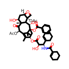 CC(=O)O[C@H]1C(=O)[C@@]2(C)C([C@H](O)[C@]3(OC(=O)c4ccccc4)C[C@H](OC(=O)[C@H](O)[C@@H](NC(=O)C4=CCCCC4)C4=CC=CCC4)C(C)=C1C3(C)C)[C@]1(OC(C)=O)CO[C@@H]1C[C@@H]2O